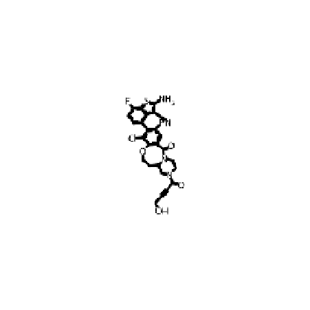 N#Cc1c(N)sc2c(F)ccc(-c3c(F)cc4c(c3Cl)OCCC3CN(C(=O)C#CCO)CCN3C4=O)c12